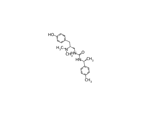 Cc1ccc([C@H](C)NC(=O)NC[C@H](Cc2ccc(O)cc2)N(C)C)cc1